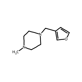 CN1CCN(Cc2ccoc2)CC1